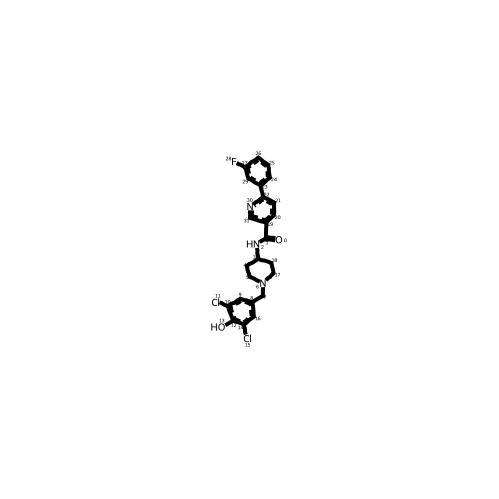 O=C(NC1CCN(Cc2cc(Cl)c(O)c(Cl)c2)CC1)c1ccc(-c2cccc(F)c2)nc1